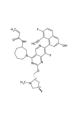 C#Cc1c(F)ccc2cc(O)cc(-c3ncc4c(N5CCCCC(NC(=O)C=C)C5)nc(OC[C@@H]5C[C@@H](F)CN5C)nc4c3F)c12